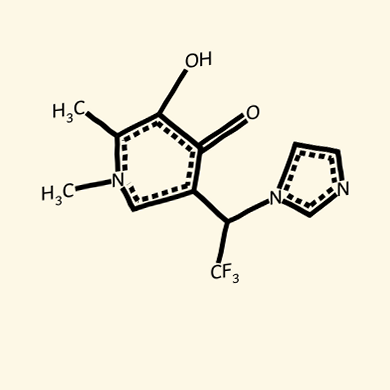 Cc1c(O)c(=O)c(C(n2ccnc2)C(F)(F)F)cn1C